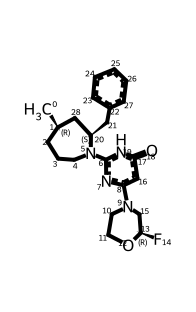 C[C@@H]1CCCN(c2nc(N3CCO[C@H](F)C3)cc(=O)[nH]2)[C@H](Cc2ccccc2)C1